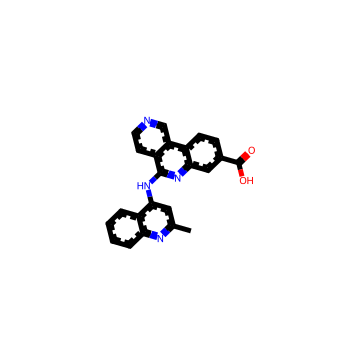 Cc1cc(Nc2nc3cc(C(=O)O)ccc3c3cnccc23)c2ccccc2n1